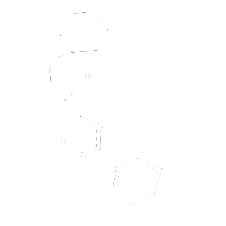 Brc1ccc(-c2c[nH]c([C@@H]3COC4(CCOCC4)N3)n2)cc1